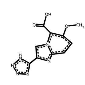 COc1ccc2nc(-c3nnn[nH]3)cn2c1C(=O)O